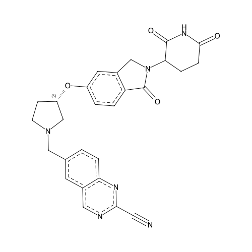 N#Cc1ncc2cc(CN3CC[C@H](Oc4ccc5c(c4)CN(C4CCC(=O)NC4=O)C5=O)C3)ccc2n1